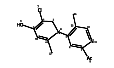 CC(=O)c1cc(N2CC(Cl)=C(O)C=C2C)c(C)cn1